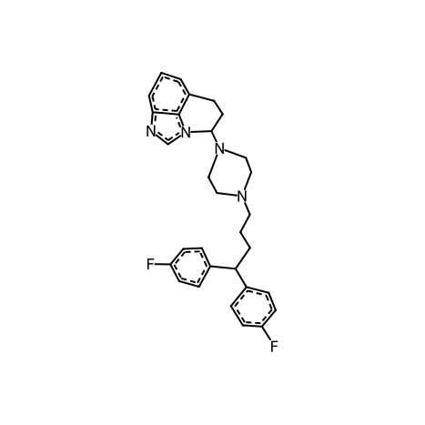 Fc1ccc(C(CCCN2CCN(C3CCc4cccc5ncn3c45)CC2)c2ccc(F)cc2)cc1